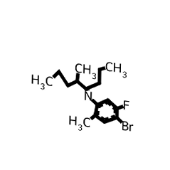 CCC/C(=N\c1cc(F)c(Br)cc1C)C(C)CCC